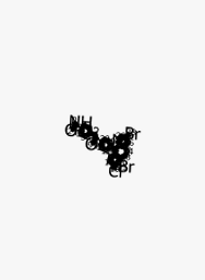 NC(=O)N1CCC(CC(=O)N2CCC(C3c4ccc(Cl)c(Br)c4CCc4cc(Br)cnc43)CC2)CC1